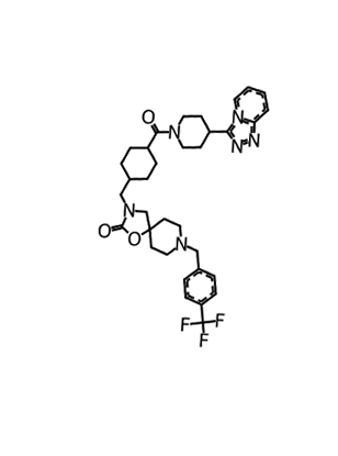 O=C1OC2(CCN(Cc3ccc(C(F)(F)F)cc3)CC2)CN1CC1CCC(C(=O)N2CCC(c3nnc4ccccn34)CC2)CC1